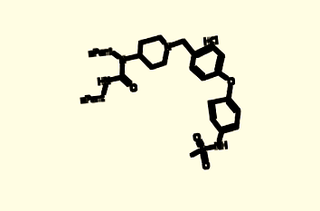 CCCCCNC(=O)N(CCCCC)C1CCN(Cc2ccc(Oc3ccc(NS(C)(=O)=O)cc3)cc2)CC1.Cl